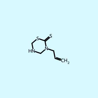 C=CCN1CNCSC1=S